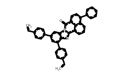 C=Cc1ccc(-c2cc(-c3ccc(C=C)cc3)c3nc4c5cccc6c(-c7ccccc7)ccc(c(=O)n4c3c2)c65)cc1